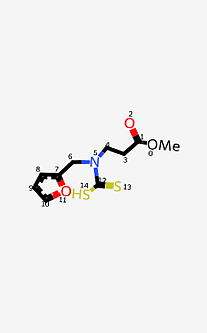 COC(=O)CCN(Cc1ccco1)C(=S)S